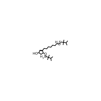 CC(C)C(C)(C)[SiH2]OCCCCCCCC1=CC(O)CC1O[SiH2]C(C)(C)C(C)C